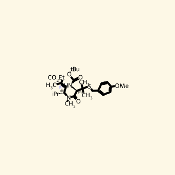 CCOC(=O)/C(C)=C/[C@@H](C(C)C)N(C)C(=O)[C@@H](NC(=O)OC(C)(C)C)C(C)(C)SCc1ccc(OC)cc1